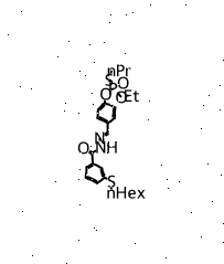 CCCCCCSc1cccc(C(=O)NN=Cc2ccc(OP(=O)(OCC)SCCC)cc2)c1